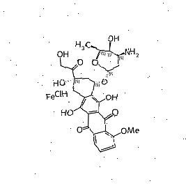 COc1cccc2c1C(=O)c1c(O)c3c(c(O)c1C2=O)C[C@@](O)(C(=O)CO)C[C@@H]3O[C@H]1C[C@H](N)[C@H](O)[C@H](C)O1.Cl.[Fe]